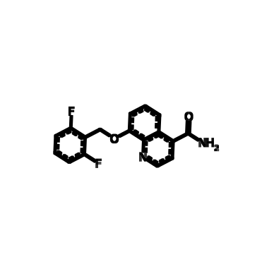 NC(=O)c1ccnc2c(OCc3c(F)cccc3F)cccc12